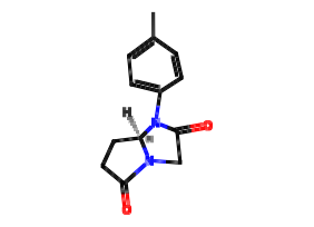 Cc1ccc(N2C(=O)CN3C(=O)CC[C@H]32)cc1